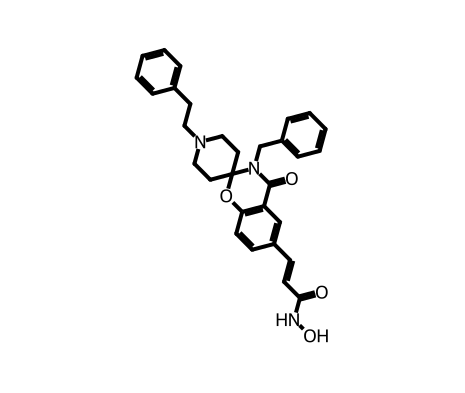 O=C(C=Cc1ccc2c(c1)C(=O)N(Cc1ccccc1)C1(CCN(CCc3ccccc3)CC1)O2)NO